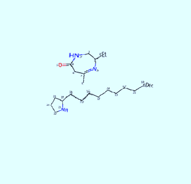 CCC1CNC(=O)CC(C)=N1.CCCCCCCCCCCCCCCCCCC1CCCN1